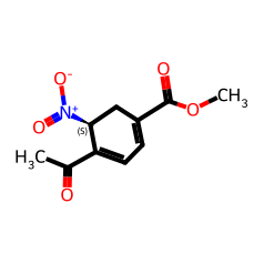 COC(=O)C1=CC=C(C(C)=O)[C@@H]([N+](=O)[O-])C1